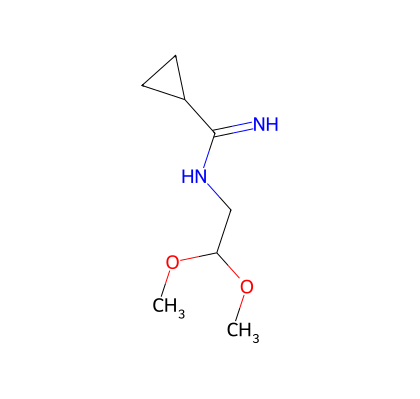 COC(CNC(=N)C1CC1)OC